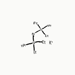 CCC[Si](CC)(CC)[N-][Si](CC)(CC)CCC.[K+]